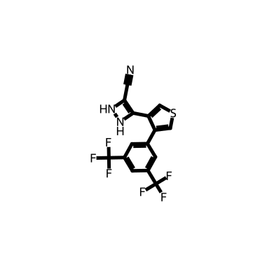 N#Cc1[nH][nH]c1-c1cscc1-c1cc(C(F)(F)F)cc(C(F)(F)F)c1